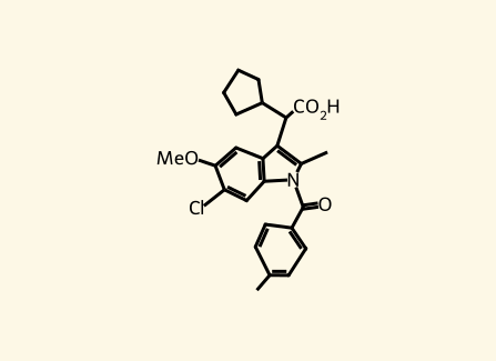 COc1cc2c(C(C(=O)O)C3CCCC3)c(C)n(C(=O)c3ccc(C)cc3)c2cc1Cl